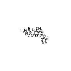 Cc1c(Cc2ccnc(N)c2F)c(=O)oc2cc(Oc3ncccc3F)ccc12